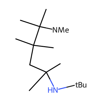 CNC(C)(C)C(C)(C)CC(C)(C)NC(C)(C)C